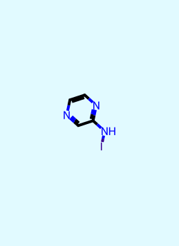 INc1cnccn1